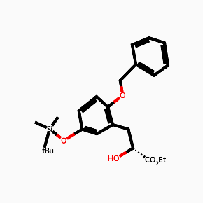 CCOC(=O)[C@H](O)Cc1cc(O[Si](C)(C)C(C)(C)C)ccc1OCc1ccccc1